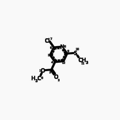 COC(=O)c1cc(Cl)nc(SC)c1